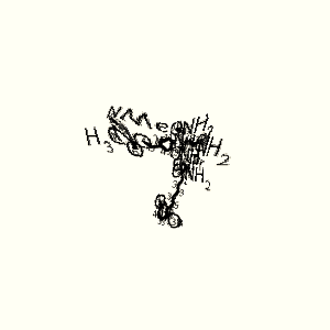 CNCCN(C)C(=O)OCc1ccc(N(C(N)=O)[C@@H](CCCN)C(=O)NC(=O)[C@](N)(C(=O)CCCCCN2C(=O)C=CC2=O)C(C)C)cc1.Cl